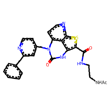 CC(=O)NCCNC(=O)c1sc2nccc3c2c1NC(=O)N3c1ccnc(-c2ccccc2)c1